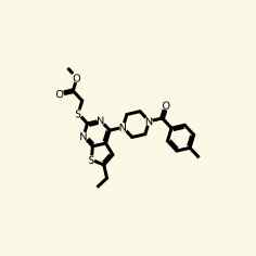 CCc1cc2c(N3CCN(C(=O)c4ccc(C)cc4)CC3)nc(SCC(=O)OC)nc2s1